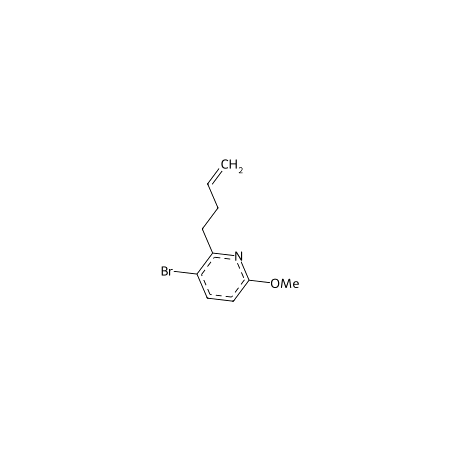 C=CCCc1nc(OC)ccc1Br